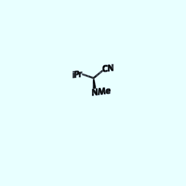 CN[C@H](C#N)C(C)C